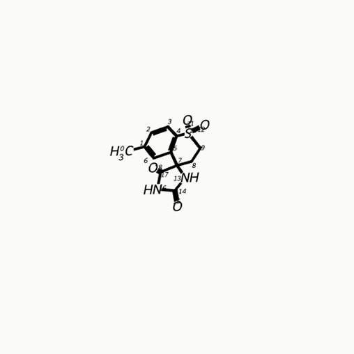 Cc1ccc2c(c1)C1(CCS2(=O)=O)NC(=O)NC1=O